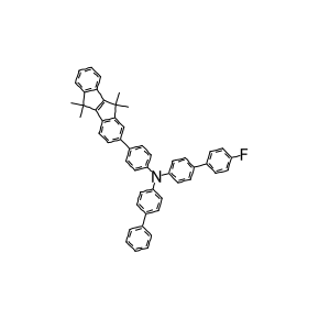 CC1(C)C2=C(c3ccccc31)C(C)(C)c1cc(-c3ccc(N(c4ccc(-c5ccccc5)cc4)c4ccc(-c5ccc(F)cc5)cc4)cc3)ccc12